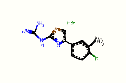 Br.N=C(N)Nc1nc(-c2ccc(F)c([N+](=O)[O-])c2)cs1